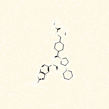 CC(C)(C)OC(=O)N[C@H](CF)C1CCC(C(=O)N2CC[C@@H](C3CCCCC3)[C@@H]2C(=O)Nc2cnc3oc(C(=O)O)cc3c2)CC1